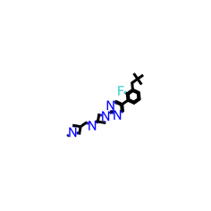 CN1CC(CN=C2CN(c3ncc(-c4cccc(CC(C)(C)C)c4F)cn3)C2)C1